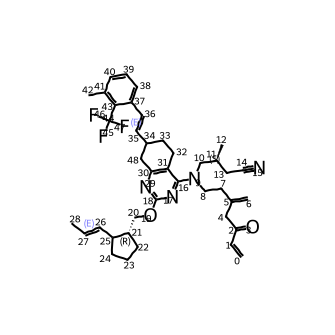 C=CC(=O)CC(=C)CCN(C[C@@H](C)CC#N)c1nc(OC[C@@H]2CCCC2/C=C/C)nc2c1CCC(/C=C/c1cccc(C)c1C(F)(F)F)C2